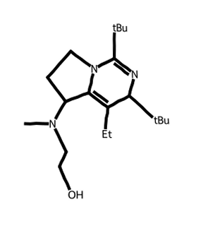 CCC1=C2C(N(C)CCO)CCN2C(C(C)(C)C)=NC1C(C)(C)C